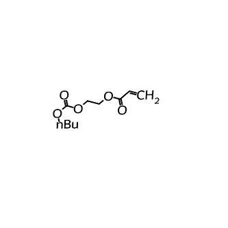 C=CC(=O)OCCOC(=O)OCCCC